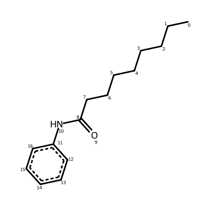 CCCCCCCCC(=O)Nc1ccccc1